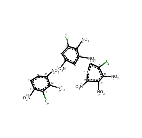 O=[N+]([O-])c1cc(Cl)c([N+](=O)[O-])c([N+](=O)[O-])c1.O=[N+]([O-])c1ccc(Cl)c([N+](=O)[O-])c1[N+](=O)[O-].O=[N+]([O-])c1ccc([N+](=O)[O-])c([N+](=O)[O-])c1Cl